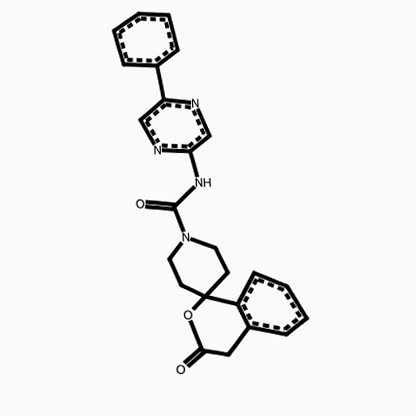 O=C1Cc2ccccc2C2(CCN(C(=O)Nc3cnc(-c4ccccc4)cn3)CC2)O1